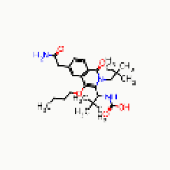 CCCCOc1c(C(NC(=O)O)C(C)(C)C)n(CC(C)(C)C)c(=O)c2ccc(CC(N)=O)cc12